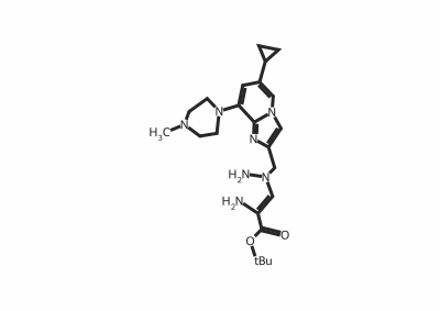 CN1CCN(c2cc(C3CC3)cn3cc(CN(N)/C=C(\N)C(=O)OC(C)(C)C)nc23)CC1